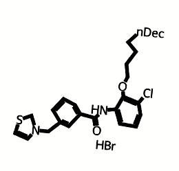 Br.CCCCCCCCCCCCCCOc1c(Cl)cccc1NC(=O)c1cccc(CN2C=CSC2)c1